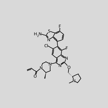 C=CC(=O)N1CCN(c2nc(OC[C@@H]3CCCN3C)nc3c(F)c(-c4ccc(F)c5sc(N)nc45)c(Cl)cc23)C[C@H]1C